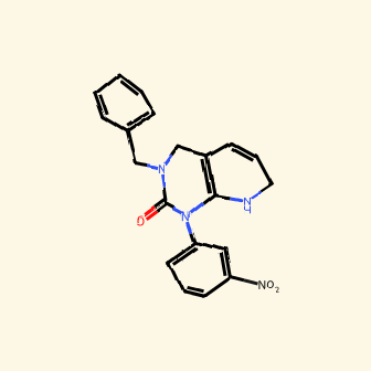 O=C1N(Cc2ccccc2)CC2=C(NCC=C2)N1c1cccc([N+](=O)[O-])c1